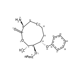 CCCCCO[C@H]1[C@H](C)OC(=O)[C@@H](N)CCCC[C@@H]1Oc1ccccc1